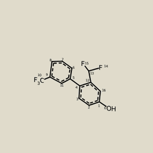 Oc1ccc(-c2cccc(C(F)(F)F)c2)c(C(F)F)c1